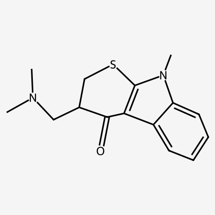 CN(C)CC1CSc2c(c3ccccc3n2C)C1=O